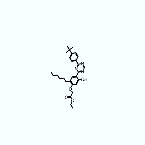 CCCCCCc1cc(-c2ncnc(-c3ccc(C(C)(C)C)cc3)n2)c(O)cc1OCC(=O)OCC